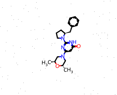 C[C@H]1CN(c2cc(=O)[nH]c(N3CCC[C@H]3Cc3ccccc3)n2)C[C@H](C)O1